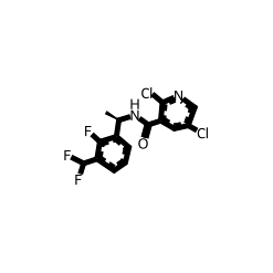 C[C@@H](NC(=O)c1cc(Cl)cnc1Cl)c1cccc(C(F)F)c1F